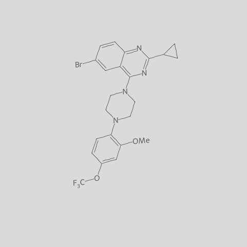 COc1cc(OC(F)(F)F)ccc1N1CCN(c2nc(C3CC3)nc3ccc(Br)cc23)CC1